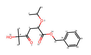 CC(C)OC(CC(=O)C(C)(C)O)C(=O)OCc1ccccc1